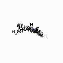 COc1cc(OC)c(F)c(COc2cnc(N/C(N)=C/C(=N)C(=O)N3CCC(O)CC3)nc2)c1F